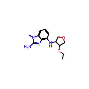 CCOC1COCC1Nc1cccc2c1nc(N)n2C